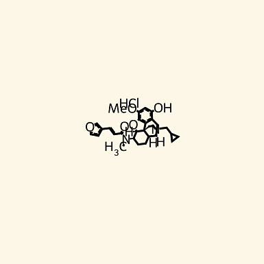 COc1cc(O)c2c3c1O[C@H]1[C@H](N(C)C(=O)/C=C/c4ccoc4)CC[C@H]4[C@@H](C2)N(CC2CC2)CC[C@@]341.Cl